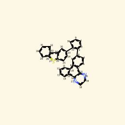 c1ccc(-c2ccc3c(c2)c2ccccc2c2nccnc32)c(-c2ccc3sc4ccccc4c3c2)c1